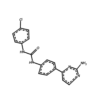 Nc1nccc(-c2ccc(NC(=O)Nc3ccc(Cl)cc3)cc2)n1